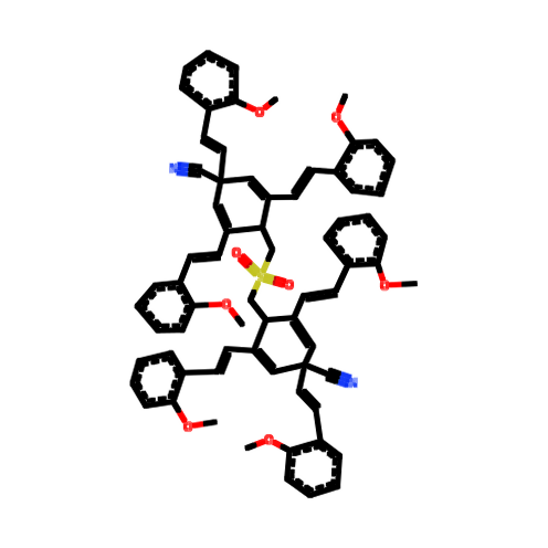 COc1ccccc1/C=C/C1=CC(C#N)(/C=C/c2ccccc2OC)C=C(/C=C/c2ccccc2OC)C1CS(=O)(=O)CC1C(/C=C/c2ccccc2OC)=CC(C#N)(/C=C/c2ccccc2OC)C=C1/C=C/c1ccccc1OC